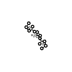 CC1(C)c2c(ccc3cc(N(c4ccccc4)c4cccc5c4oc4c(-c6ccccc6)cccc45)ccc23)-c2ccc3cc(N(c4ccccc4)c4cccc5c4oc4c(-c6ccccc6)cccc45)ccc3c21